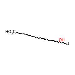 CC/C=C/CC(O)/C=C/C=C/C/C=C/C/C=C/C/C=C/CCCCCCCCCCCCCCC(=O)O